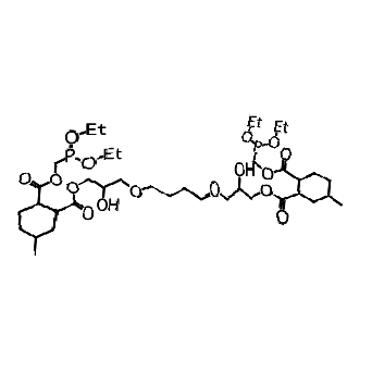 CCOP(COC(=O)C1CCC(C)CC1C(=O)OCC(O)COCCCCOCC(O)COC(=O)C1CC(C)CCC1C(=O)OCP(OCC)OCC)OCC